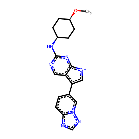 FC(F)(F)O[C@H]1CC[C@@H](Nc2ncc3c(-c4ccc5ncnn5c4)c[nH]c3n2)CC1